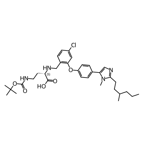 CCCC(C)CCc1ncc(-c2ccc(Oc3cc(Cl)ccc3CN[C@@H](CCNC(=O)OC(C)(C)C)C(=O)O)cc2)n1C